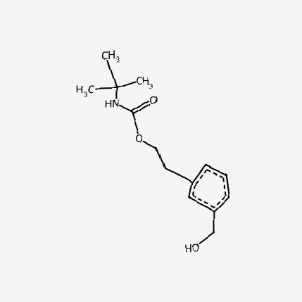 CC(C)(C)NC(=O)OCCc1cccc(CO)c1